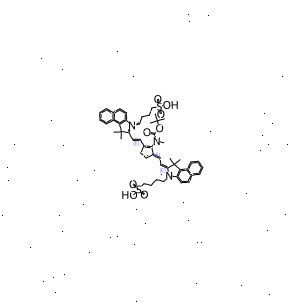 CN(C(=O)OC(C)(C)C)C1=C(/C=C/C2=[N+](CCCCS(=O)(=O)O)c3ccc4ccccc4c3C2(C)C)CC/C1=C\C=C1\N(CCCCS(=O)(=O)O)c2ccc3ccccc3c2C1(C)C